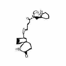 CN(CC1CCCCN1)C(=O)CCCOc1ccc2c(c1)CCC(=O)N2